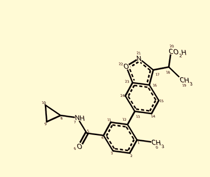 Cc1ccc(C(=O)NC2CC2)cc1-c1ccc2c(C(C)C(=O)O)noc2c1